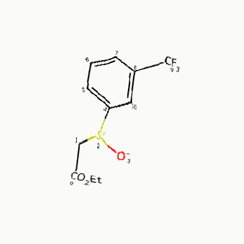 CCOC(=O)C[S+]([O-])c1cccc(C(F)(F)F)c1